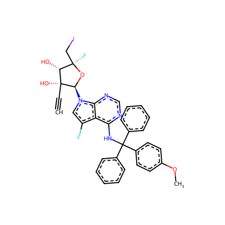 C#C[C@]1(O)[C@H](n2cc(F)c3c(NC(c4ccccc4)(c4ccccc4)c4ccc(OC)cc4)ncnc32)O[C@](F)(CI)[C@H]1O